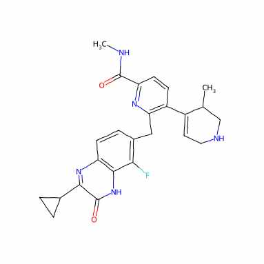 CNC(=O)c1ccc(C2=CCNCC2C)c(Cc2ccc3nc(C4CC4)c(=O)[nH]c3c2F)n1